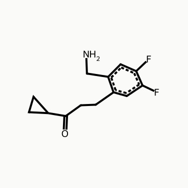 NCc1cc(F)c(F)cc1CCC(=O)C1CC1